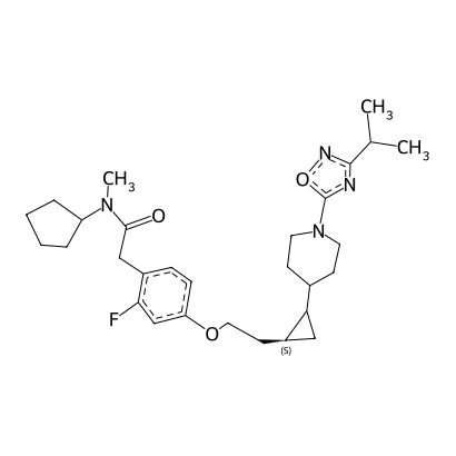 CC(C)c1noc(N2CCC(C3C[C@H]3CCOc3ccc(CC(=O)N(C)C4CCCC4)c(F)c3)CC2)n1